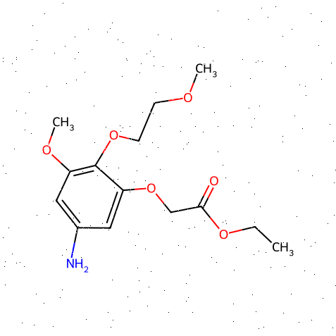 CCOC(=O)COc1cc(N)cc(OC)c1OCCOC